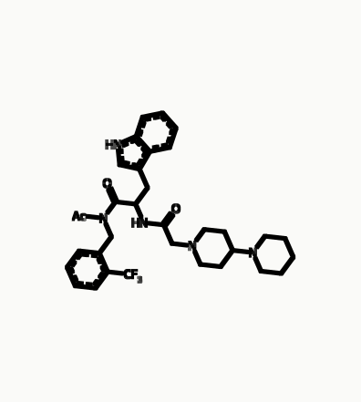 CC(=O)N(Cc1ccccc1C(F)(F)F)C(=O)C(Cc1c[nH]c2ccccc12)NC(=O)CN1CCC(N2CCCCC2)CC1